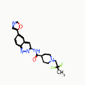 CC(F)(F)CN1CCC(C(=O)Nc2cc3cc(-c4cnco4)ccc3nn2)CC1